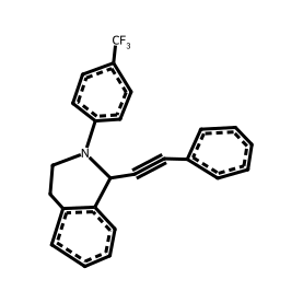 FC(F)(F)c1ccc(N2CCc3ccccc3C2C#Cc2ccccc2)cc1